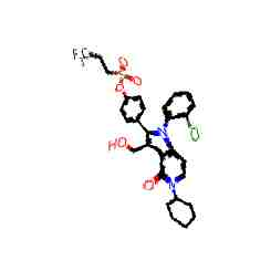 O=c1c2c(CO)c(-c3ccc(OS(=O)(=O)CCC(F)(F)F)cc3)n(-c3ccccc3Cl)c2ccn1C1CCCCC1